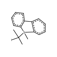 CC(C)(I)S1(C)c2ccccc2-c2ccccc21